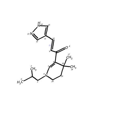 CC(C)CN1C=C(C(=O)/C=C/c2cn[nH]c2)C(C)(C)CC1